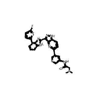 CN(C)CC(=O)Nc1cncc(-c2ccc3[nH]nc(-c4nc5c(-c6ccc(F)s6)cccc5[nH]4)c3n2)c1